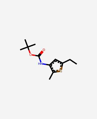 CCc1cc(NC(=O)OC(C)(C)C)c(C)s1